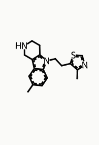 Cc1ccc2c(c1)c1c(n2CCc2scnc2C)CCNC1